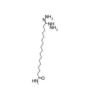 CNC(=O)CCCCCCCCCCCCCCC/C(=N/N)NN